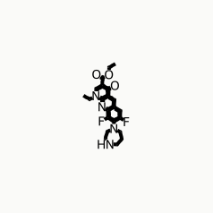 CCOC(=O)c1cn(CC)c2nc3c(F)c(N4CCCNCC4)c(F)cc3cc2c1=O